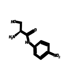 N[C@@H](CO)C(=O)Nc1ccc([N+](=O)[O-])cc1